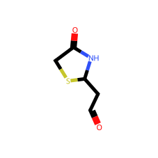 O=CCC1NC(=O)CS1